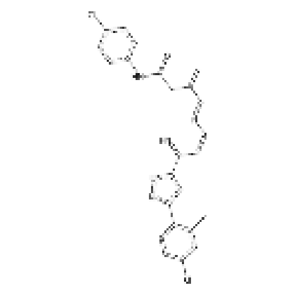 C=C(/C=N/C=C\C(=N)c1cc(-c2ccc(Cl)cc2C)no1)CC(=O)Nc1ccc(Cl)cc1